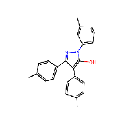 Cc1ccc(-c2nn(-c3cccc(C)c3)c(O)c2-c2ccc(C)cc2)cc1